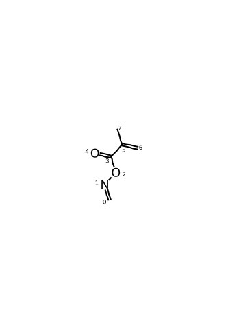 C=NOC(=O)C(=C)C